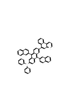 c1ccc(N(c2ccccc2)c2ccc3c(-c4ccc5ccccc5c4)c4cc(-c5cc6ncccc6c6ccccc56)ccc4c(-c4ccc5ccccc5c4)c3c2)cc1